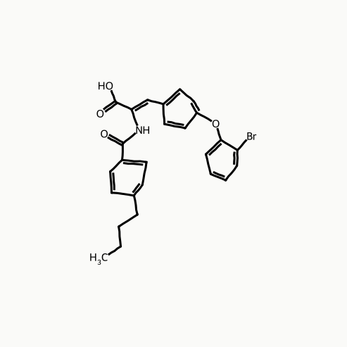 CCCCc1ccc(C(=O)N/C(=C\c2ccc(Oc3ccccc3Br)cc2)C(=O)O)cc1